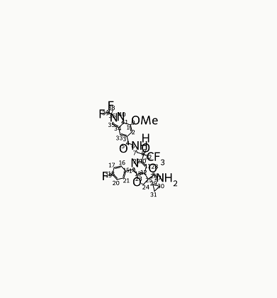 COc1cc(C(=O)NCC(O)(c2cc3c(c(-c4ccc(F)cc4)n2)OC[C@@]3(C(N)=O)C2CC2)C(F)(F)F)cc2cn(C(F)F)nc12